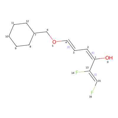 OC(=C/C=C/OCC1CCCCC1)/C(F)=C/F